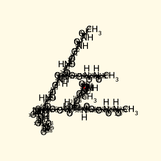 CCCC(=O)NCCC(=O)NCCOCCOCC(=O)NCCCC[C@H](NC(=O)COCCOCCNC(=O)CCNC(=O)CCC)C(=O)NCCOCCOCC(=O)NCCCC[C@H](NC(=O)COCCOCCNC(=O)[C@H](CCCCNC(=O)COCCOCCNC(=O)CCNC(=O)CCC)NC(=O)COCCOCCNC(=O)CCNC(=O)CCC)C(=O)N[C@@H](CNC(=O)CCN1C(=O)C=CC1=O)C(N)=O